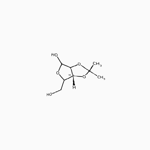 CC1(C)OC2C(O)OC(CO)[C@H]2O1